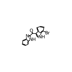 O=C(c1nc2ccccc2[nH]1)c1c[nH]c2c(Br)cccc12